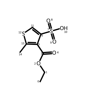 CCOC(=O)c1c(S(=O)(=O)O)csc1C